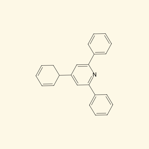 C1=CCC(c2cc(-c3ccccc3)nc(-c3ccccc3)c2)C=C1